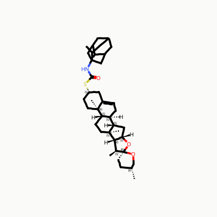 CC1C2CC3CC1CC(NC(=O)S[C@H]1CC[C@@]4(C)C(=CC[C@H]5[C@@H]6C[C@@H]7O[C@]8(CC[C@@H](C)CO8)[C@@H](C)[C@@H]7[C@@]6(C)CC[C@@H]54)C1)(C2)C3C